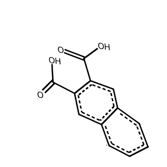 O=C(O)c1cc2[c]cccc2cc1C(=O)O